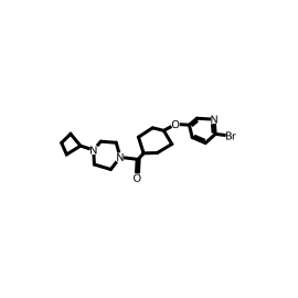 O=C(C1CCC(Oc2ccc(Br)nc2)CC1)N1CCN(C2CCC2)CC1